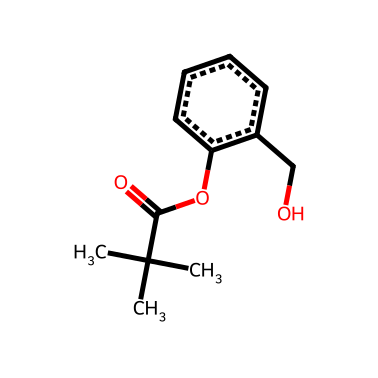 CC(C)(C)C(=O)Oc1ccccc1CO